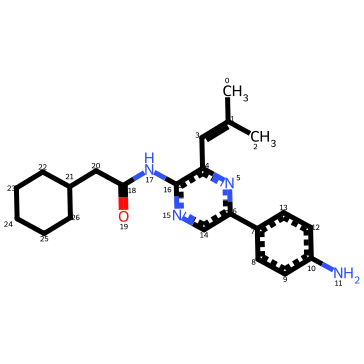 CC(C)=Cc1nc(-c2ccc(N)cc2)cnc1NC(=O)CC1CCCCC1